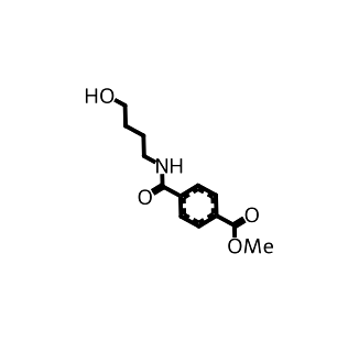 COC(=O)c1ccc(C(=O)NCCCCO)cc1